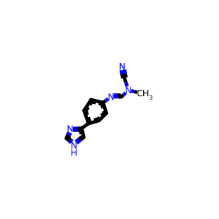 CN(C#N)C=Nc1ccc(-c2c[nH]cn2)cc1